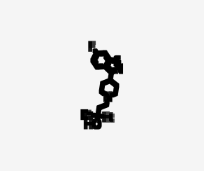 CCC(O)(CC)CCN1CCC(c2nsc3cc(F)ccc23)CC1